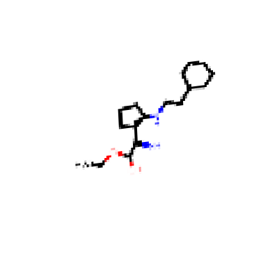 CCOC(O)C(=N)C1=C(NCCC2CCCCC2)CCC1